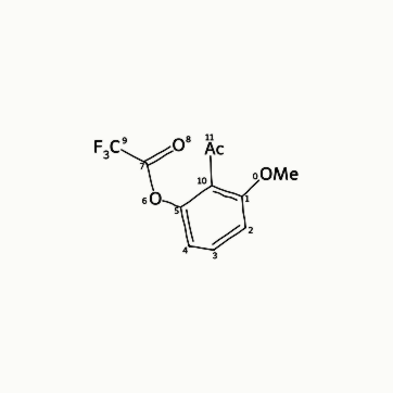 COc1cccc(OC(=O)C(F)(F)F)c1C(C)=O